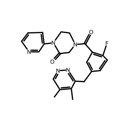 Cc1cnnc(Cc2ccc(F)c(C(=O)N3CCN(c4cccnc4)C(=O)C3)c2)c1C